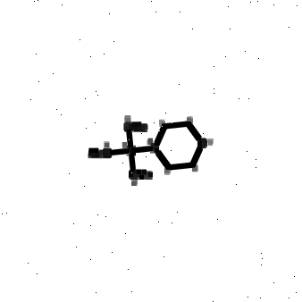 CO[Si](OC)(OC)N1CCOCC1